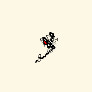 CCOC(=O)CCCCCCOc1cc([C@@](Cc2ccccc2)(NC(=O)NC2CCCC2)c2cc(F)cc(C(F)(F)F)c2)ccc1F